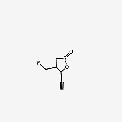 C#CC1OS(=O)CC1CF